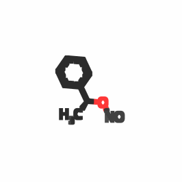 C[C@H](ON=O)c1ccccc1